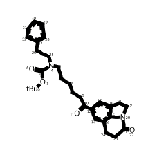 CC(C)(C)OC(=O)N(CCCCCC(=O)c1cc2c3c(c1)CCN3C(=O)CC2)CCc1ccccc1